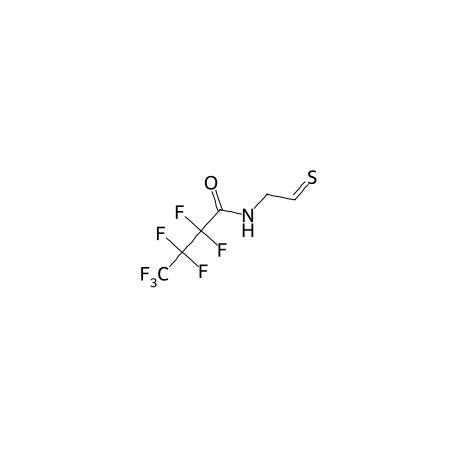 O=C(NCC=S)C(F)(F)C(F)(F)C(F)(F)F